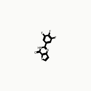 O=c1[nH]c(-c2cc(F)c(F)c(F)c2)nc2ccsc12